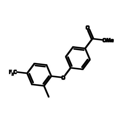 COC(=O)c1ccc(Oc2ccc(C(F)(F)F)cc2C)cc1